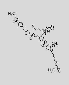 CCCOC(=O)c1ccc(CCc2ccc(C(=O)OCCc3ccc(OC(=O)c4ccc(OCCCCCCOCC5(CC)COC5)c(OC)c4)cc3/C=N/N(CCCCC#N)c3nc4ccccc4s3)cc2)cc1